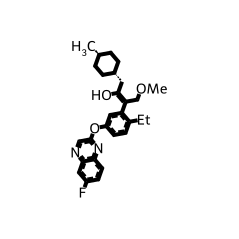 CCc1ccc(Oc2cnc3cc(F)ccc3n2)cc1/C(COC)=C(\O)C[C@H]1CC[C@@H](C)CC1